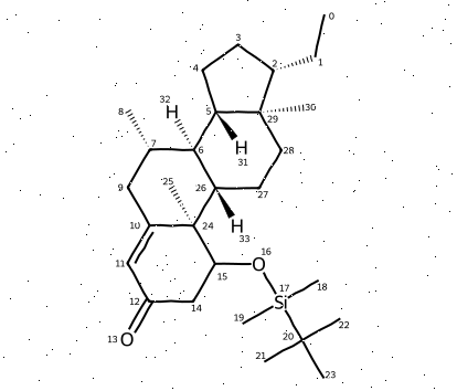 CC[C@H]1CC[C@H]2[C@@H]3[C@@H](C)CC4=CC(=O)CC(O[Si](C)(C)C(C)(C)C)[C@]4(C)[C@H]3CC[C@]12C